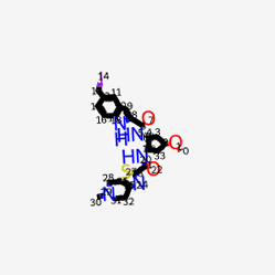 COC1C[C@@H](NC(=O)c2cc3cc(CI)ccc3[nH]2)[C@H](NC(=O)c2nc3c(s2)CN(C)CC3)C1